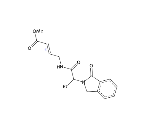 CCC(C(=O)NC/C=C/C(=O)OC)N1Cc2ccccc2C1=O